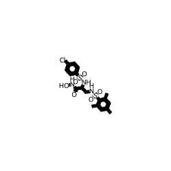 Cc1cc(C)c(S(=O)(=O)NCC(NS(=O)(=O)c2ccc(Cl)cc2)C(=O)NO)c(C)c1